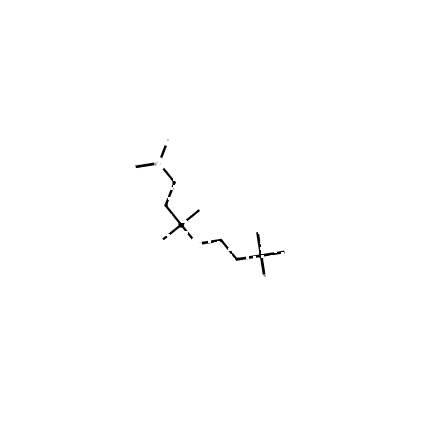 CCC(C)(C)CCOC(C)(C)CCN(C)C(C)=O